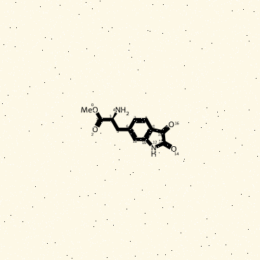 COC(=O)[C@@H](N)Cc1ccc2c(c1)NC(=O)C2=O